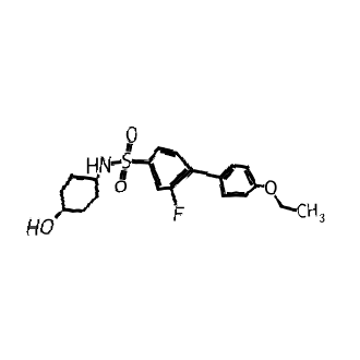 CCOc1ccc(-c2ccc(S(=O)(=O)N[C@H]3CC[C@H](O)CC3)cc2F)cc1